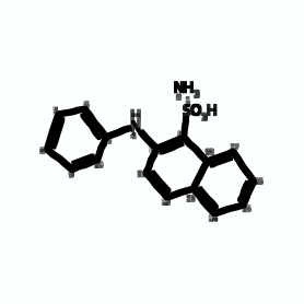 N.O=S(=O)(O)c1c(Nc2ccccc2)ccc2ccccc12